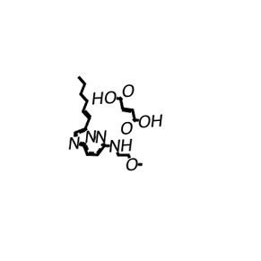 CCCCC=Cc1cnc2ccc(NCCOC)nn12.O=C(O)C=CC(=O)O